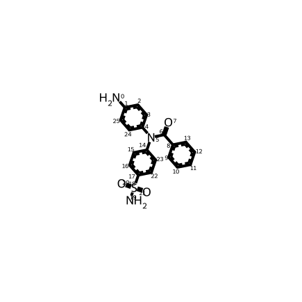 Nc1ccc(N(C(=O)c2ccccc2)c2ccc(S(N)(=O)=O)cc2)cc1